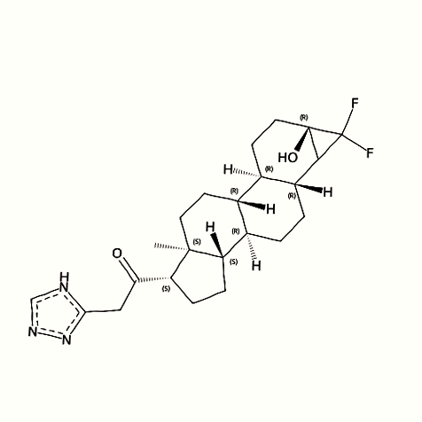 C[C@]12CC[C@@H]3[C@H]4CC[C@@]5(O)C([C@@H]4CC[C@H]3[C@@H]1CC[C@@H]2C(=O)Cc1nnc[nH]1)C5(F)F